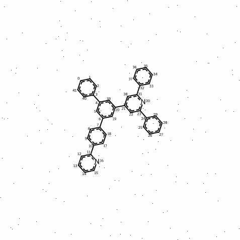 c1ccc(-c2cc(-c3ccc(-c4ccccn4)cc3)cc(-c3cc(-c4ccccc4)nc(-c4ccccc4)c3)c2)cc1